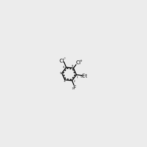 CCc1c(F)ccc(Cl)c1Cl